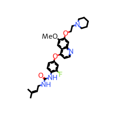 COc1cc2c(Oc3ccc(NC(=O)NCC=C(C)C)c(F)c3)ccnc2cc1OCCN1CCCCC1